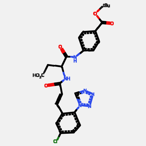 CC(C)(C)OC(=O)c1ccc(NC(=O)C(CC(=O)O)NC(=O)C=Cc2cc(Cl)ccc2-n2cnnn2)cc1